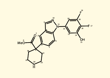 COC(=O)C1(c2ccc3c(cnn3-c3cc(O)c(F)c(F)c3)c2)CCNCC1